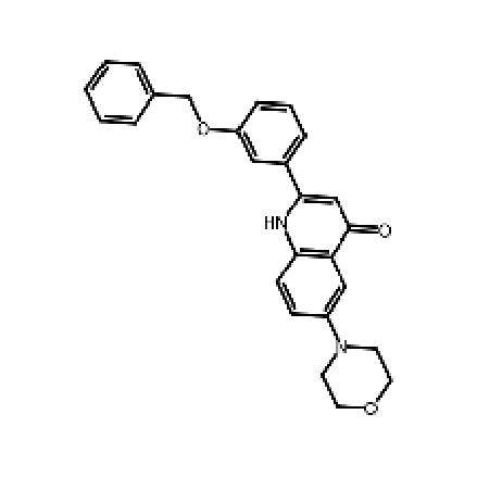 O=c1cc(-c2cccc(OCc3ccccc3)c2)[nH]c2ccc(N3CCOCC3)cc12